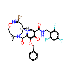 C[C@H]1CCO/N=C(/Br)C[C@H]2CN1C(=O)c1c(OCc3ccccc3)c(=O)c(C(=O)NCc3c(F)cc(F)cc3F)cn12